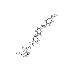 CCC(C)(C)C(=O)OCCOc1ccc(-c2ccc(/N=N/c3ccc(OC)cc3)cc2)cc1